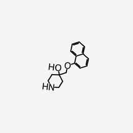 OC1(COc2cccc3ccccc23)CCNCC1